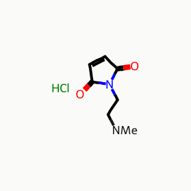 CNCCN1C(=O)C=CC1=O.Cl